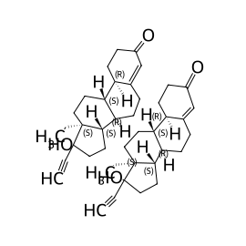 C#CC1(O)CC[C@H]2[C@@H]3CCC4=CC(=O)CC[C@@H]4[C@H]3CC[C@@]21CC.C#CC1(O)CC[C@H]2[C@@H]3CCC4=CC(=O)CC[C@@H]4[C@H]3CC[C@@]21CC